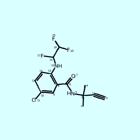 C#CC(C)(C)NC(=O)c1cc(Cl)ccc1NC(F)C(F)F